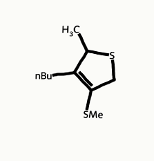 CCCCC1=C(SC)CSC1C